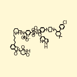 CC1(C)CCC(CN2CCN(c3ccc(C(=O)NS(=O)(=O)c4ccc(NCC5CCCN(CCCCc6cccc7c6CN(C6CCC(=O)NC6=O)C7=O)C5)c([N+](=O)[O-])c4)c(Oc4cnc5[nH]ccc5c4)c3)CC2)=C(c2ccc(Cl)cc2)C1